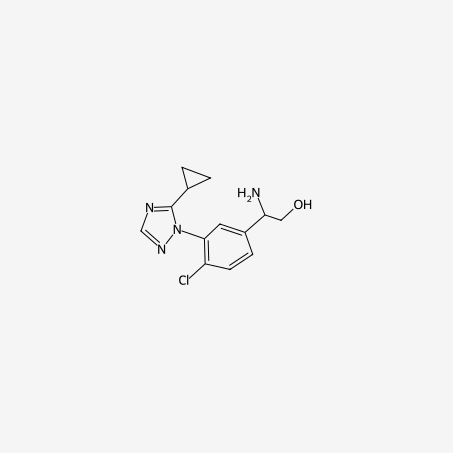 NC(CO)c1ccc(Cl)c(-n2ncnc2C2CC2)c1